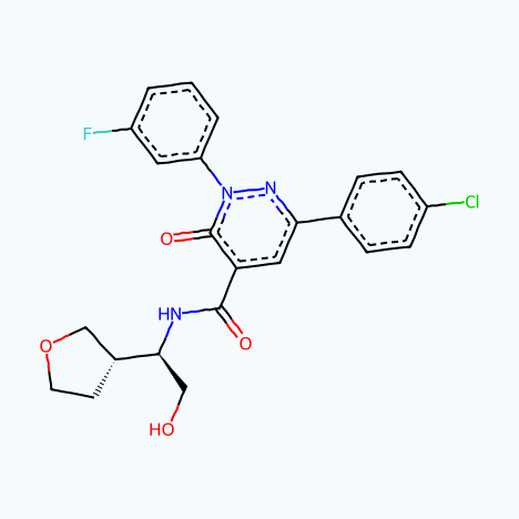 O=C(N[C@@H](CO)[C@@H]1CCOC1)c1cc(-c2ccc(Cl)cc2)nn(-c2cccc(F)c2)c1=O